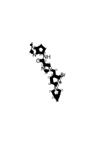 Cn1cnc2c1CC[C@H]2NC(=O)c1cn(Cc2ccc(N3CC4CC4C3)nc2Br)cn1